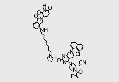 C=C(F)C(=O)N1CCN(c2nc(OC[C@@H]3CCCN3CCCCCCCCNc3cccc4c3CN(C3CCC(=O)NC3=O)C4=O)nc3c2CCN(c2cccc4cccc(Cl)c24)C3)C[C@@H]1CC#N